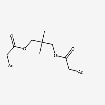 CC(=O)CC(=O)OCC(C)(C)COC(=O)CC(C)=O